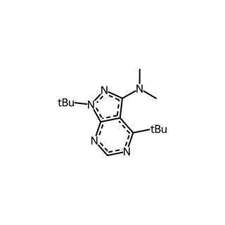 CN(C)c1nn(C(C)(C)C)c2ncnc(C(C)(C)C)c12